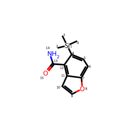 C[Si](C)(C)c1ccc2occc2c1C(N)=O